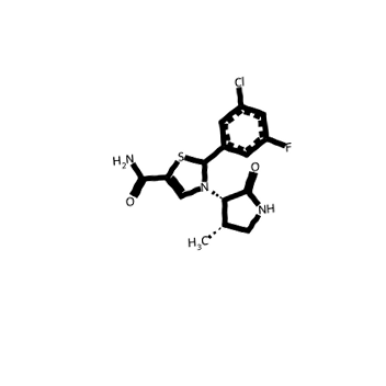 C[C@H]1CNC(=O)[C@H]1N1C=C(C(N)=O)SC1c1cc(F)cc(Cl)c1